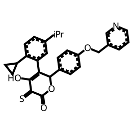 CC(C)c1ccc(C2CC2)c(C2=C(O)C(=S)C(=O)OC2c2ccc(OCc3cccnc3)cc2)c1